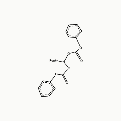 CCCCCN(OC(=O)Oc1ccccc1)OC(=O)Oc1ccccc1